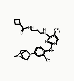 CCc1cc(N2CC3CC2CN3C)ccc1Nc1ncc(C(F)(F)F)c(NCCCNC(=O)C2CCC2)n1